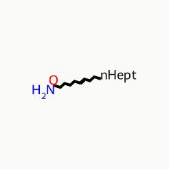 CCCCCCCCCCC=CCCCCC(N)=O